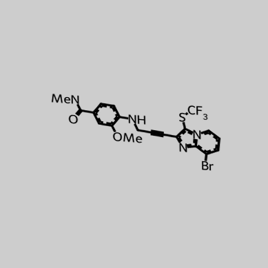 CNC(=O)c1ccc(NCC#Cc2nc3c(Br)cccn3c2SC(F)(F)F)c(OC)c1